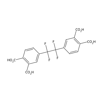 O=C(O)c1ccc(C(F)(F)C(F)(F)c2ccc(C(=O)O)c(C(=O)O)c2)cc1C(=O)O